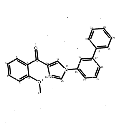 COc1ccccc1C(=O)c1cn(-c2cccc(-c3ccccc3)c2)cn1